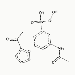 CC(=O)Nc1cccc([As](=O)(O)OO)c1.CC(=O)c1ccco1